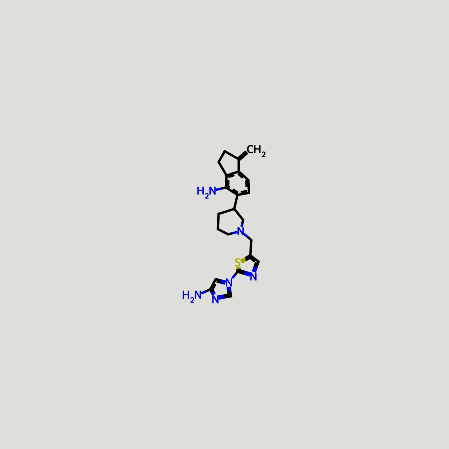 C=C1CCc2c1ccc(C1CCCN(Cc3cnc(-n4cnc(N)c4)s3)C1)c2N